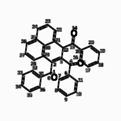 O=C(C1=C(C(=O)c2ccccc2)C(C(=O)c2ccccc2)c2cccc3cccc1c23)c1ccccc1